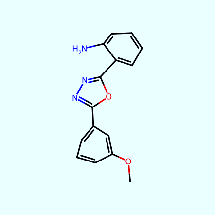 COc1cccc(-c2nnc(-c3ccccc3N)o2)c1